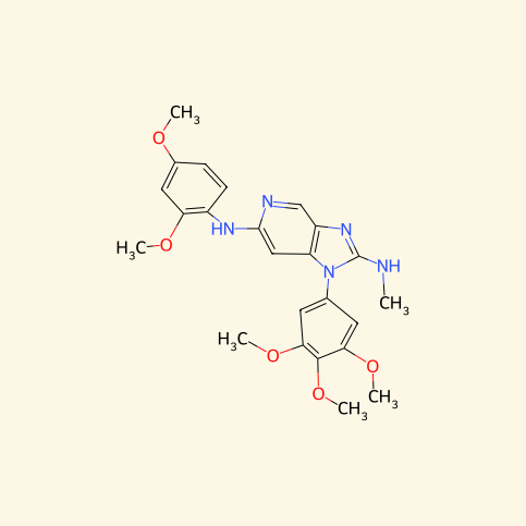 CNc1nc2cnc(Nc3ccc(OC)cc3OC)cc2n1-c1cc(OC)c(OC)c(OC)c1